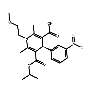 COCCN1C(C)=C(C(=O)O)[C@@H](c2cccc([N+](=O)[O-])c2)C(C(=O)OC(C)C)=C1C